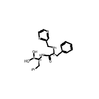 CC(C)C[C@H](NC(=O)[C@H](Cc1ccccc1)NCc1cnccn1)B(O)O